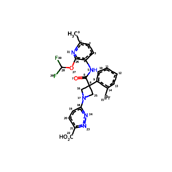 Cc1ccc(NC(=O)C2(c3ccccc3C(C)C)CN(c3ccc(C(=O)O)nn3)C2)c(OC(F)F)n1